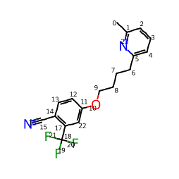 Cc1cccc(CCCCOc2ccc(C#N)c(C(F)(F)F)c2)n1